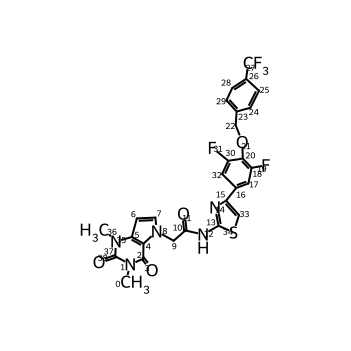 Cn1c(=O)c2c(ccn2CC(=O)Nc2nc(-c3cc(F)c(OCc4ccc(C(F)(F)F)cc4)c(F)c3)cs2)n(C)c1=O